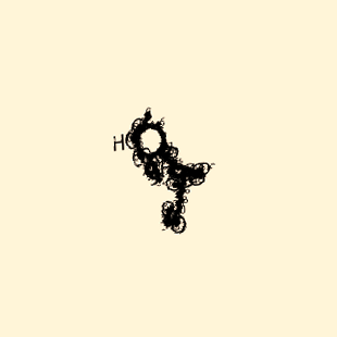 C=CCC1CC(C)CCCC2(C)OC2(OC(=O)OCc2ccc(OC(=O)CCCCCN3C(=O)C=CC3=O)c([N+](=O)[O-])c2)CC(c2ccc3sc(C)nc3c2)OC(=O)CC(O)C(C)(C)C1=O